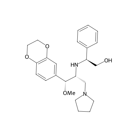 CO[C@H](c1ccc2c(c1)OCCO2)[C@@H](CN1CCCC1)N[C@H](CO)c1ccccc1